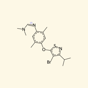 Cc1cc(Oc2snc(C(C)C)c2Br)c(C)cc1/N=C\N(C)C